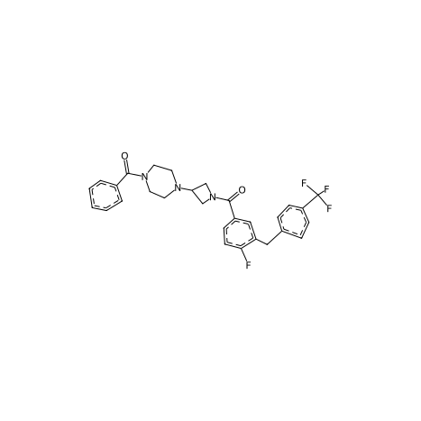 O=C(c1ccccc1)N1CCN(C2CN(C(=O)c3ccc(F)c(Cc4ccc(C(F)(F)F)cc4)c3)C2)CC1